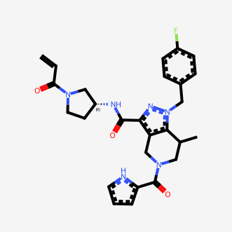 C=CC(=O)N1CC[C@@H](NC(=O)c2nn(Cc3ccc(F)cc3)c3c2CN(C(=O)c2ccc[nH]2)CC3C)C1